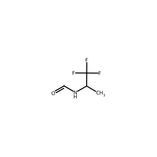 CC(N[C]=O)C(F)(F)F